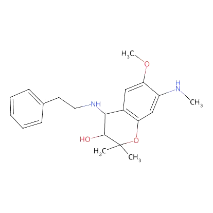 CNc1cc2c(cc1OC)C(NCCc1ccccc1)C(O)C(C)(C)O2